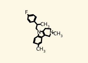 Cc1ccc2c(c1)c1c(n2CC(C)c2ccc(F)cc2)CCN(C)C1